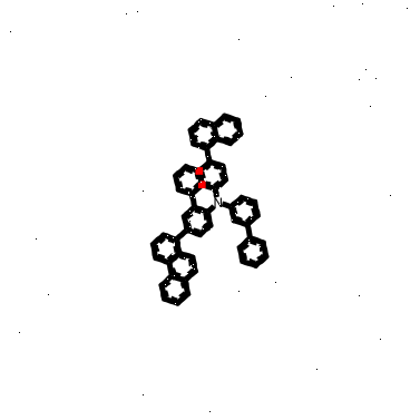 c1ccc(-c2cccc(N(c3ccc(-c4cccc5ccccc45)cc3)c3ccc(-c4cccc5c4ccc4ccccc45)cc3-c3ccccc3)c2)cc1